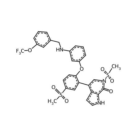 CS(=O)(=O)c1ccc(Oc2cccc(NCc3cccc(OC(F)(F)F)c3)c2)c(-c2cn(S(C)(=O)=O)c(=O)c3[nH]ccc23)c1